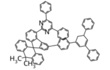 CC1(C)c2ccccc2C2(c3ccc(-c4ccc(C5=CC(c6ccccc6)=CC(c6ccccc6)C5)cc4)cc3-c3c(-c4nc(-c5ccccc5)cc(-c5ccccc5)n4)cccc32)c2ccccc21